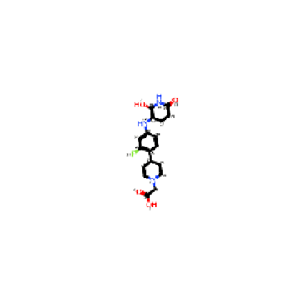 O=C(O)CN1CCC(c2ccc(NC3CCC(=O)NC3O)cc2F)CC1